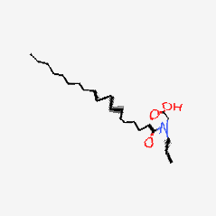 C=CCN(CC(=O)O)C(=O)CCCCCCCC=CCCCCCCCC